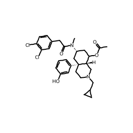 CC(=O)OC1C[C@@H](N(C)C(=O)Cc2ccc(Cl)c(Cl)c2)C[C@]2(c3cccc(O)c3)CCN(CC3CC3)C[C@@H]12